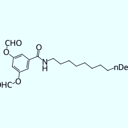 CCCCCCCCCCCCCCCCCCNC(=O)c1cc(OC=O)cc(OC=O)c1